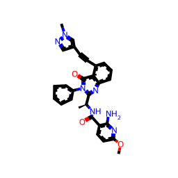 COc1ccc(C(=O)N[C@@H](C)c2nc3cccc(C#Cc4cnn(C)c4)c3c(=O)n2-c2ccccc2)c(N)n1